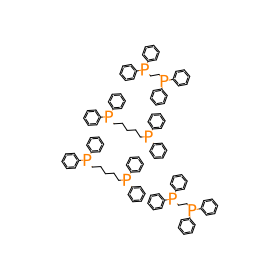 c1ccc(P(CCCCCP(c2ccccc2)c2ccccc2)c2ccccc2)cc1.c1ccc(P(CCCCCP(c2ccccc2)c2ccccc2)c2ccccc2)cc1.c1ccc(P(CCP(c2ccccc2)c2ccccc2)c2ccccc2)cc1.c1ccc(P(CCP(c2ccccc2)c2ccccc2)c2ccccc2)cc1